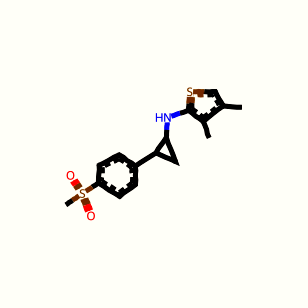 Cc1csc(NC2CC2c2ccc(S(C)(=O)=O)cc2)c1C